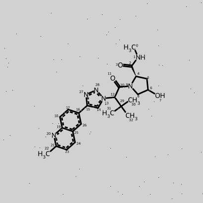 CNC(=O)[C@H]1CC(O)CN1C(=O)C(n1cc(-c2ccc3nc(C)ccc3c2)nn1)C(C)(C)C